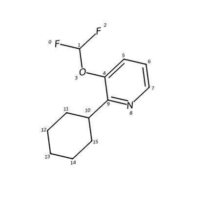 FC(F)Oc1cccnc1C1CCCCC1